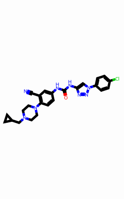 N#Cc1cc(NC(=O)Nc2cn(-c3ccc(Cl)cc3)nn2)ccc1N1CCN(CC2CC2)CC1